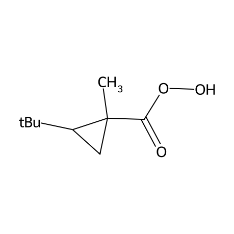 CC(C)(C)C1CC1(C)C(=O)OO